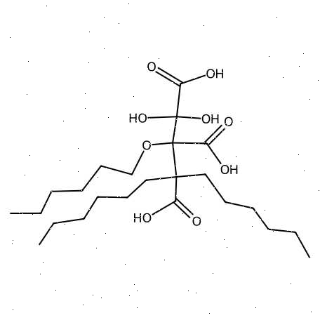 CCCCCCOC(C(=O)O)(C(O)(O)C(=O)O)C(CCCCCC)(CCCCCC)C(=O)O